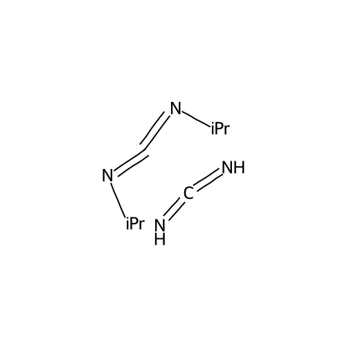 CC(C)N=C=NC(C)C.N=C=N